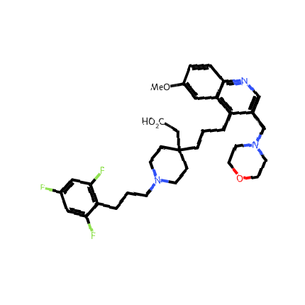 COc1ccc2ncc(CN3CCOCC3)c(CCCC3(CC(=O)O)CCN(CCCc4c(F)cc(F)cc4F)CC3)c2c1